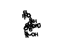 CC1C=CC(Cn2cnc(CCO)c2)=CC1C(=O)Nc1ccc(N2CCCCC2)cc1C(=O)N/N=C/c1ccc(Cl)c(C(F)(F)F)c1